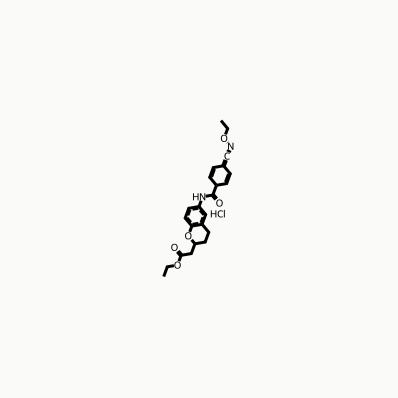 CCON=C=C1C=CC(C(=O)Nc2ccc3c(c2)CCC(CC(=O)OCC)O3)C=C1.Cl